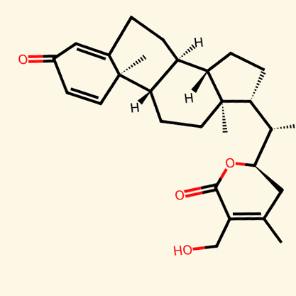 CC1=C(CO)C(=O)O[C@@H]([C@@H](C)[C@H]2CC[C@H]3[C@@H]4CCC5=CC(=O)C=C[C@]5(C)[C@H]4CC[C@]23C)C1